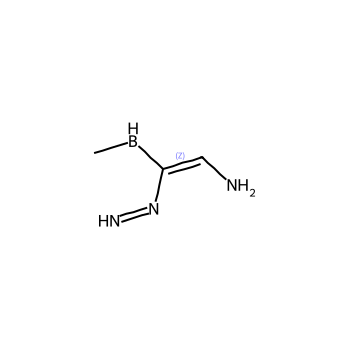 CB/C(=C/N)N=N